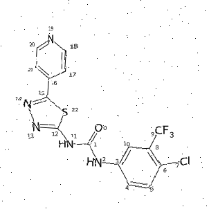 O=C(Nc1ccc(Cl)c(C(F)(F)F)c1)Nc1nnc(-c2ccncc2)s1